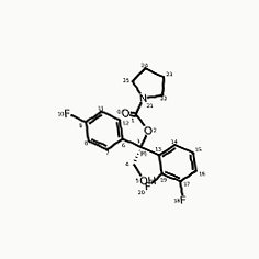 O=C(O[C@](CO)(c1ccc(F)cc1)c1cccc(F)c1F)N1CCCC1